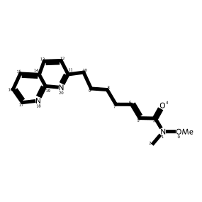 CON(C)C(=O)/C=C/CCCCc1ccc2cccnc2n1